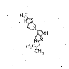 Cc1nc2ccc(-c3c[nH]c4nc(CC(C)C)ncc34)cc2s1